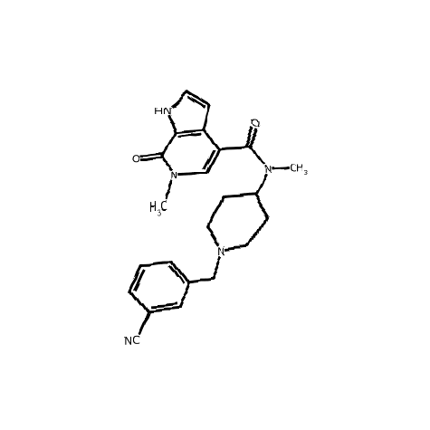 CN(C(=O)c1cn(C)c(=O)c2[nH]ccc12)C1CCN(Cc2cccc(C#N)c2)CC1